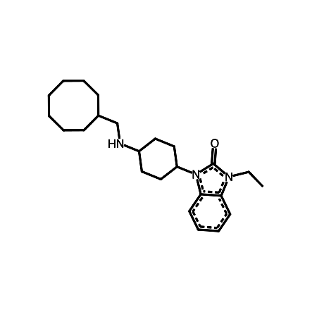 CCn1c(=O)n(C2CCC(NCC3CCCCCCC3)CC2)c2ccccc21